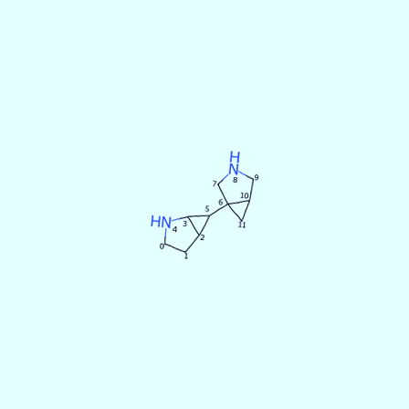 C1CC2C(N1)C2C12CNCC1C2